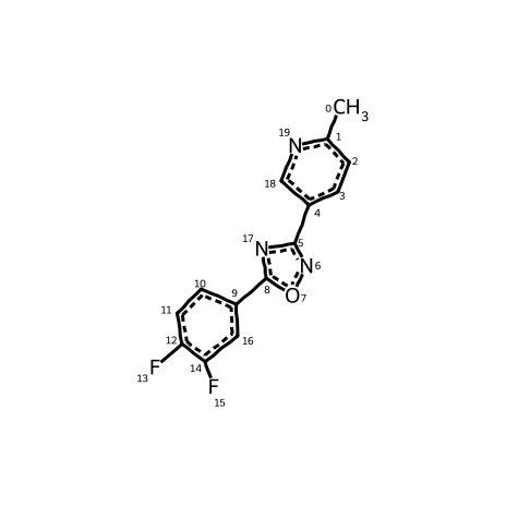 Cc1ccc(-c2noc(-c3ccc(F)c(F)c3)n2)cn1